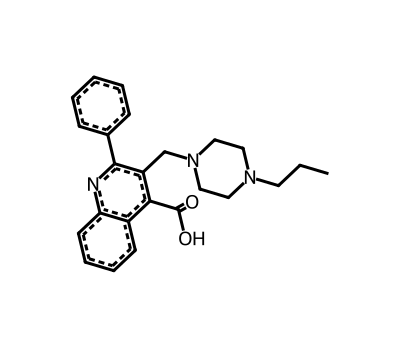 CCCN1CCN(Cc2c(-c3ccccc3)nc3ccccc3c2C(=O)O)CC1